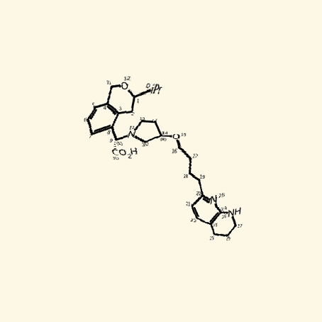 CC(C)C1Cc2c(cccc2[C@@H](C(=O)O)N2CC[C@@H](OCCCCc3ccc4c(n3)NCCC4)C2)CO1